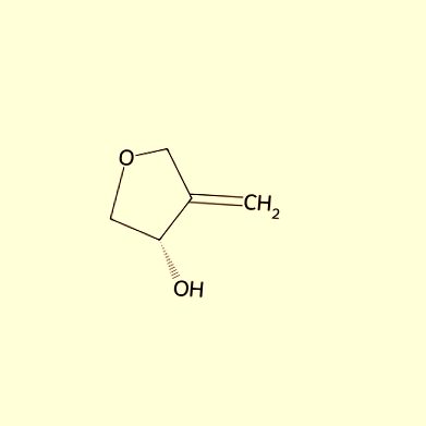 C=C1COC[C@H]1O